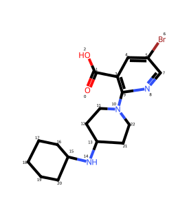 O=C(O)c1cc(Br)cnc1N1CCC(NC2CCCCC2)CC1